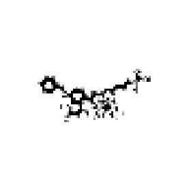 CC(C)(C)[Si](C)(C)OC(CNCCCCCNC(=O)O)c1ccc(OCc2ccccc2)c2[nH]c(=O)ccc12